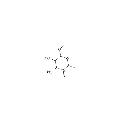 COC1OC(C)[C@@H](C)C(O)C1O